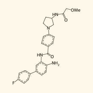 COCC(=O)NC1CCN(c2ccc(C(=O)Nc3cc(-c4ccc(F)cc4)ccc3N)cc2)C1